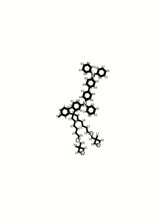 Cc1ccc2c(c1)C(CCCCCCOCC1(C)COC1)(CCCCCCOCC1(C)COC1)c1cc(N(c3ccccc3)c3ccc(-c4ccc(N(c5ccccc5)c5ccccc5)cc4)cc3)ccc1-2